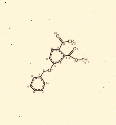 COC(=O)c1cc(OCc2ccccc2)ccc1C(C)=O